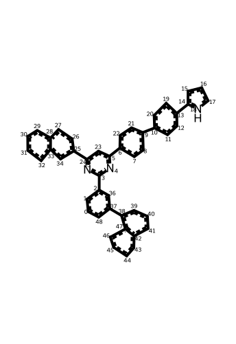 c1cc(-c2nc(-c3ccc(-c4ccc(-c5ccc[nH]5)cc4)cc3)cc(-c3ccc4ccccc4c3)n2)cc(-c2cccc3ccccc23)c1